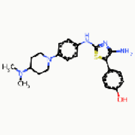 CN(C)C1CCN(c2ccc(Nc3nc(N)c(-c4ccc(O)cc4)s3)cc2)CC1